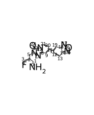 NC/C(=C\F)Cn1nc2cc(-c3ccc4nonc4c3)ccn2c1=O